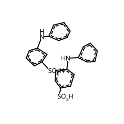 O=S(=O)(O)c1ccc(Nc2ccccc2)cc1.O=S(=O)(O)c1cccc(Nc2ccccc2)c1